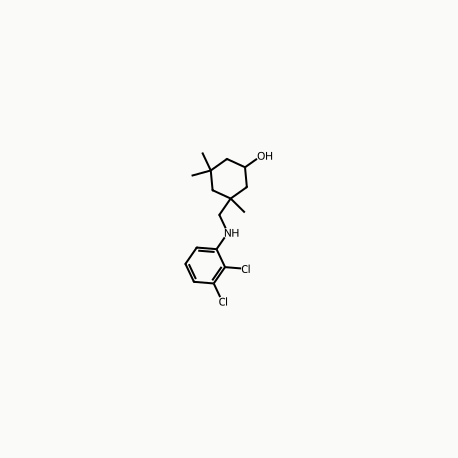 CC1(C)CC(O)CC(C)(CNc2cccc(Cl)c2Cl)C1